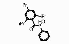 CC(C)c1cc(C(C)C)c(C(=O)[PH](=O)c2ccccc2)c(C(C)C)c1